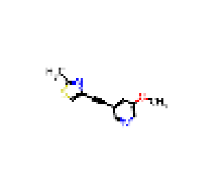 COc1cncc(C#Cc2csc(C)n2)c1